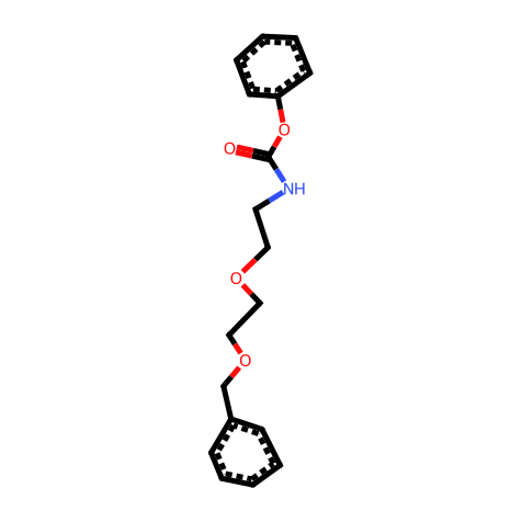 O=C(NCCOCCOCc1ccccc1)Oc1ccccc1